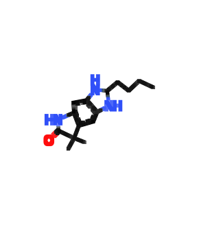 CCCCC1Nc2cc3c(cc2N1)C(C)(C)C(=O)N3